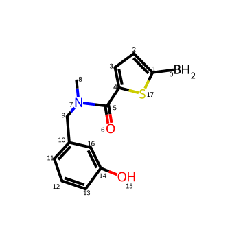 Bc1ccc(C(=O)N(C)Cc2cccc(O)c2)s1